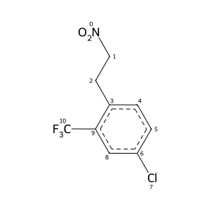 O=[N+]([O-])CCc1ccc(Cl)cc1C(F)(F)F